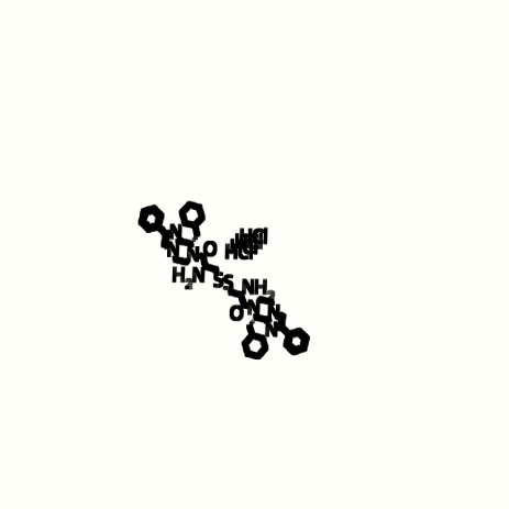 Cl.Cl.Cl.Cl.N[C@@H](CSSC[C@H](N)C(=O)N1CCn2cc(-c3ccccc3)nc2[C@@H]1CC1CCCCC1)C(=O)N1CCn2cc(-c3ccccc3)nc2[C@@H]1CC1CCCCC1